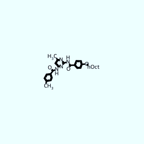 CCCCCCCCOc1ccc(C(=O)Nc2nc(C)cc(NC(=O)c3ccc(C)cc3)n2)cc1